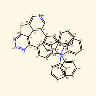 c1ccc(-n2c3ccccc3c3cc(-c4cncc5sc6nnnc(-c7ccc8c(c7)c7ccccc7n8-c7ccccc7)c6c45)ccc32)cc1